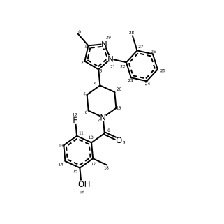 Cc1cc(C2CCN(C(=O)c3c(F)ccc(O)c3C)CC2)n(-c2ccccc2C)n1